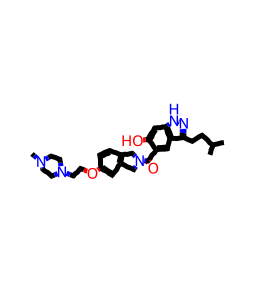 CC(C)CCc1n[nH]c2cc(O)c(C(=O)N3Cc4ccc(OCCN5CCN(C)CC5)cc4C3)cc12